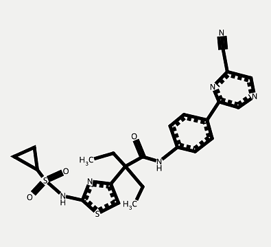 CCC(CC)(C(=O)Nc1ccc(-c2cncc(C#N)n2)cc1)c1csc(NS(=O)(=O)C2CC2)n1